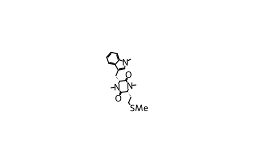 CSCC[C@@H]1C(=O)N(C)[C@H](Cc2cn(C)c3ccccc23)C(=O)N1C